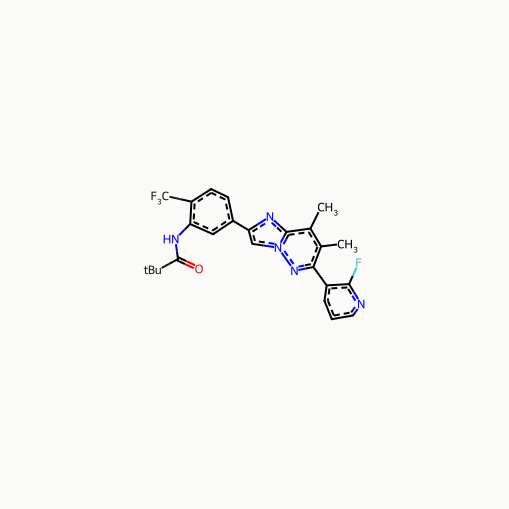 Cc1c(-c2cccnc2F)nn2cc(-c3ccc(C(F)(F)F)c(NC(=O)C(C)(C)C)c3)nc2c1C